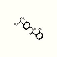 CN(C)c1ccc(NC(=O)c2ccccc2O)cc1